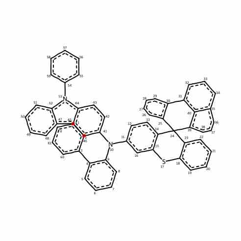 c1ccc(-c2ccccc2N(c2ccc3c(c2)Sc2ccccc2C32c3ccccc3-c3cccc4cccc2c34)c2ccc3c(c2)c2ccccc2n3-c2ccccc2)cc1